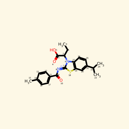 CCC(C(=O)O)n1/c(=N/C(=O)c2ccc(C)cc2)sc2cc(C(C)C)ccc21